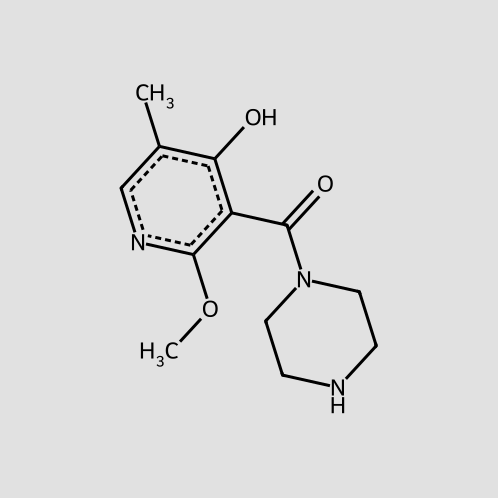 COc1ncc(C)c(O)c1C(=O)N1CCNCC1